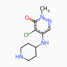 Cn1ncc(NC2CCNCC2)c(Cl)c1=O